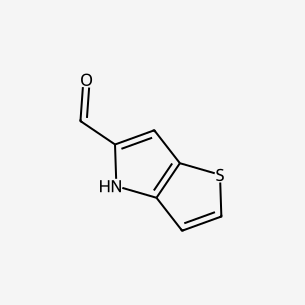 O=Cc1cc2sccc2[nH]1